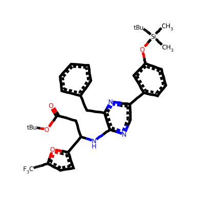 CC(C)(C)OC(=O)CC(Nc1ncc(-c2cccc(O[Si](C)(C)C(C)(C)C)c2)nc1Cc1ccccc1)c1ccc(C(F)(F)F)o1